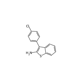 Nc1sc2ccccc2c1-c1ccc(Cl)cc1